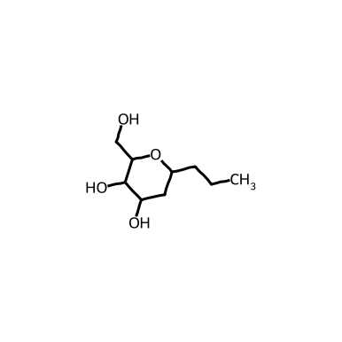 CCCC1CC(O)C(O)C(CO)O1